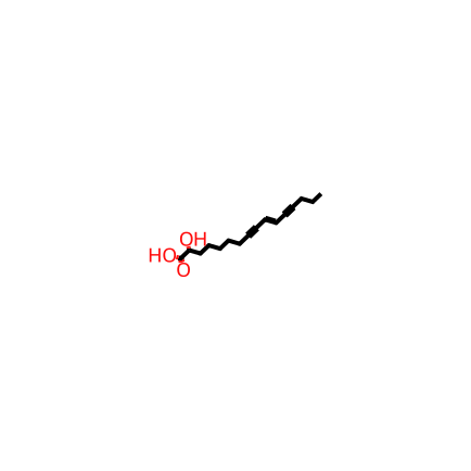 CCCC#CC=CC#CCCCCCC(O)C(=O)O